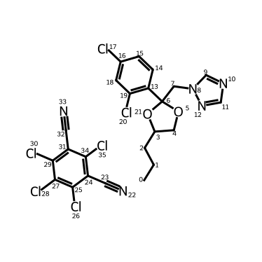 CCCC1COC(Cn2cncn2)(c2ccc(Cl)cc2Cl)O1.N#Cc1c(Cl)c(Cl)c(Cl)c(C#N)c1Cl